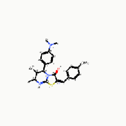 COc1ccc(/C=c2/sc3n(c2=O)C(c2ccc(N(C)C)cc2)C(C(C)=O)C(C)N=3)cc1